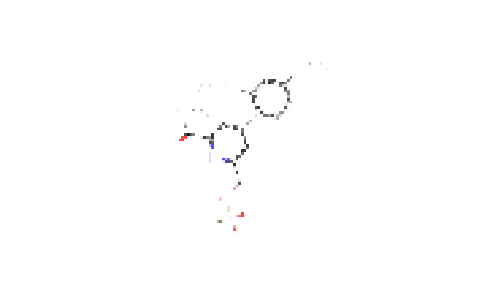 COC(=O)c1cc(-c2ccc(OC)cc2OC)cc(COS(C)(=O)=O)n1